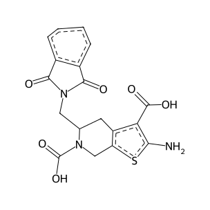 Nc1sc2c(c1C(=O)O)CC(CN1C(=O)c3ccccc3C1=O)N(C(=O)O)C2